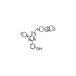 Oc1cccc(-c2nc(N3CCOCC3)c3sc(CN4CCC(O)(CN5CCOCC5)CC4)cc3n2)c1